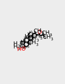 CC(C)=CC(=O)C[C@@H](C)[C@H]1CC[C@@]2(C)[C@@H]3CC[C@H]4C(C)(C)C(O)CC[C@]4(C)C3=CC[C@]12C